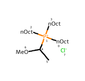 CCCCCCCC[P+](CCCCCCCC)(CCCCCCCC)C(C)OC.[Cl-]